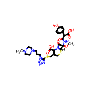 CO[C@@]1(NC(=O)C(C(=O)O)c2ccc(O)cc2)C(=O)N2C(C(=O)O)=C(CSc3nnnn3CCCN3CCN(C)CC3)CS[C@H]21